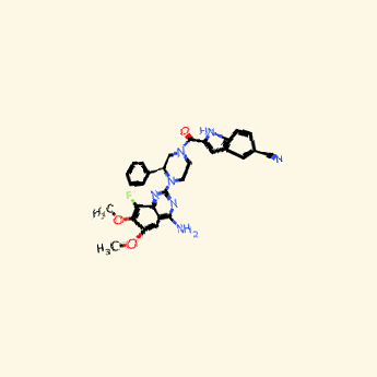 COc1cc2c(N)nc(N3CCN(C(=O)c4cc5cc(C#N)ccc5[nH]4)C[C@@H]3c3ccccc3)nc2c(F)c1OC